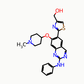 CN1CCC(Oc2cc3nc(Nc4ccccc4)ncc3cc2-c2nc(CO)cs2)CC1